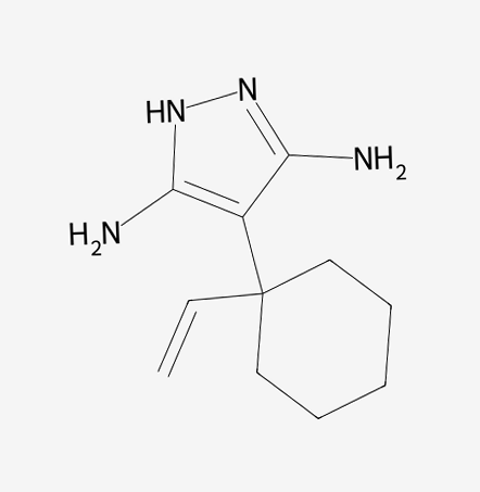 C=CC1(c2c(N)n[nH]c2N)CCCCC1